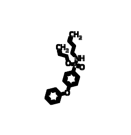 C=CCCNP(=O)(OCC=C)c1ccc(Oc2ccccc2)cc1